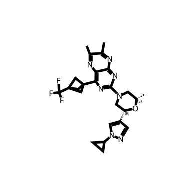 Cc1nc2nc(N3C[C@@H](c4cnn(C5CC5)c4)O[C@@H](C)C3)nc(C34CC(C(F)(F)F)(C3)C4)c2nc1C